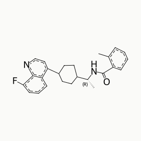 Cc1ccccc1C(=O)N[C@H](C)C1CCC(c2ccnc3c(F)cccc23)CC1